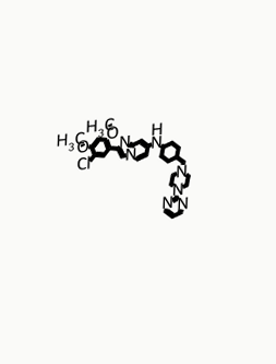 COc1cc(OC)c(-c2cn3ccc(NC4CCC(CN5CCN(c6ncccn6)CC5)CC4)cc3n2)cc1Cl